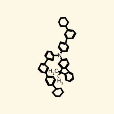 CC1(C)c2ccccc2-c2ccc(N(c3ccc(-c4cccc(C5CCCCC5)c4)cc3)c3cccc(-c4cccc(-c5ccc(C6CCCCC6)cc5)c4)c3)cc21